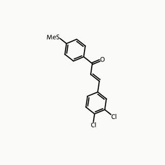 CSc1ccc(C(=O)/C=C/c2ccc(Cl)c(Cl)c2)cc1